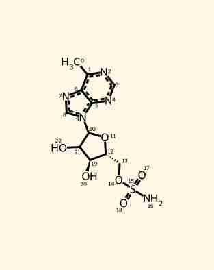 Cc1ncnc2c1ncn2C1O[C@H](COS(N)(=O)=O)[C@@H](O)C1O